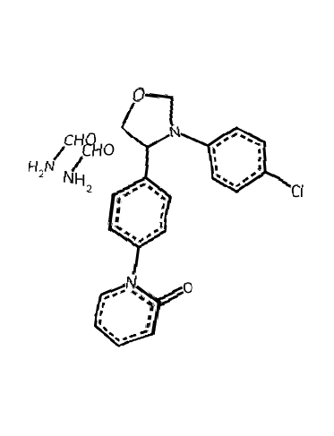 NC=O.NC=O.O=c1ccccn1-c1ccc(C2COCN2c2ccc(Cl)cc2)cc1